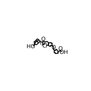 O=C(O)c1cccc(COc2ccc(CC3CCN(C4C5CC6CC4CC(O)(C6)C5)C3=O)c(Cl)c2)c1